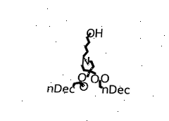 CCCCCCCCCCCC(=O)OCC1(COC(=O)CCCCCCCCCCC)CCN(CCCCCO)CC1